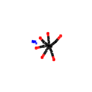 N.O=[C]=[Mo](=[C]=O)(=[C]=O)(=[C]=O)(=[C]=O)=[C]=O